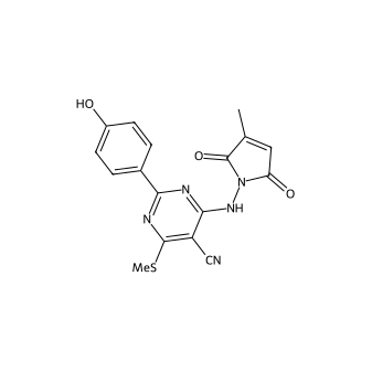 CSc1nc(-c2ccc(O)cc2)nc(NN2C(=O)C=C(C)C2=O)c1C#N